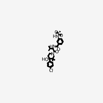 CC(C)[C@@H](NC(=O)c1cccc(NS(C)(=O)=O)c1)C(=O)N1CC[C@](O)(c2ccc(Cl)cc2)C(C)(C)C1